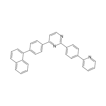 c1ccc(-c2ccc(-c3nccc(-c4ccc(-c5cccc6ccccc56)cc4)n3)cc2)nc1